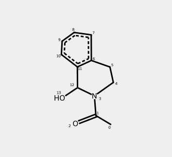 CC(=O)N1CCc2ccccc2C1O